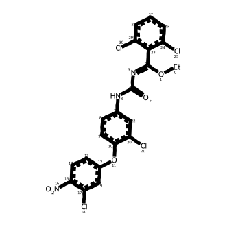 CCOC(=NC(=O)Nc1ccc(Oc2ccc([N+](=O)[O-])c(Cl)c2)c(Cl)c1)c1c(Cl)cccc1Cl